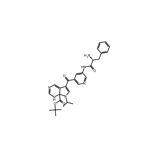 CC(C)N1C=C(C(=O)c2cncc(NC(=O)[C@@H](N)Cc3ccccc3)c2)C2=CN=CNC21C(=O)OC(C)(C)C